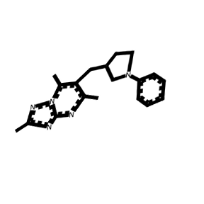 Cc1nc2nc(C)c(CC3CCN(c4ccccc4)C3)c(C)n2n1